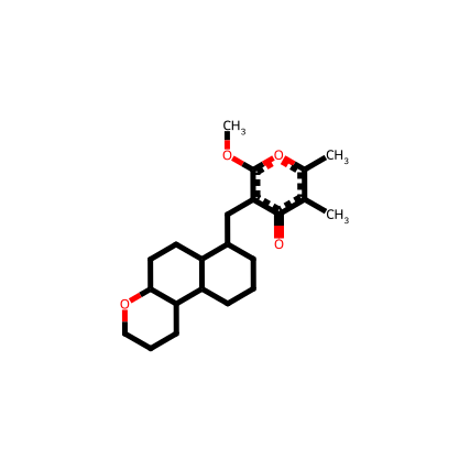 COc1oc(C)c(C)c(=O)c1CC1CCCC2C1CCC1OCCCC12